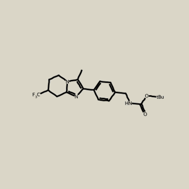 Cc1c(-c2ccc(CNC(=O)OC(C)(C)C)cc2)nc2n1CCC(C(F)(F)F)C2